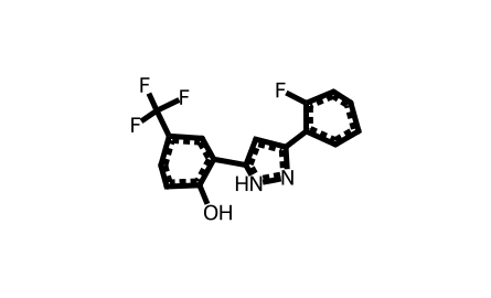 Oc1ccc(C(F)(F)F)cc1-c1cc(-c2ccccc2F)n[nH]1